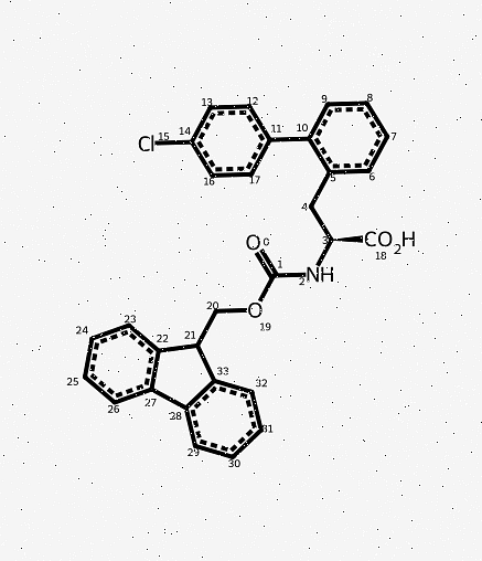 O=C(N[C@@H](Cc1ccccc1-c1ccc(Cl)cc1)C(=O)O)OCC1c2ccccc2-c2ccccc21